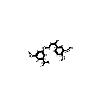 COc1cc(OCCC(C)c2ccc(OC)c(OC)c2)cc(C(C)C)c1